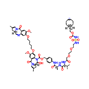 COc1cc2c(cc1OCCCCCOc1cc3c(cc1OC)C(=O)N1C=C(C)C[C@H]1[C@H](O)N3C(=O)OCc1ccc(NC(=O)[C@H](C)NC(=O)[C@@H](NC(=O)COCCOCCNS(=O)(=O)NC(=O)OC[C@@H]3[C@@H]4CC/C=C\CC[C@@H]43)C(C)C)cc1)N=C[C@@H]1CC(C)=CN1C2=O